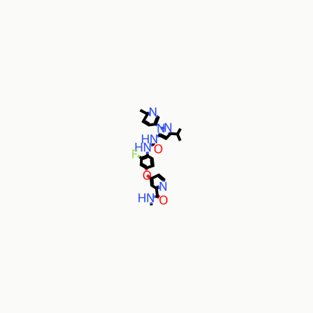 CNC(=O)c1cc(Oc2ccc(NC(=O)Nc3cc(C(C)C)nn3-c3ccc(C)nc3)c(F)c2)ccn1